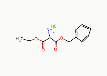 CCOC(=O)C(N)C(=O)OCc1ccccc1.Cl